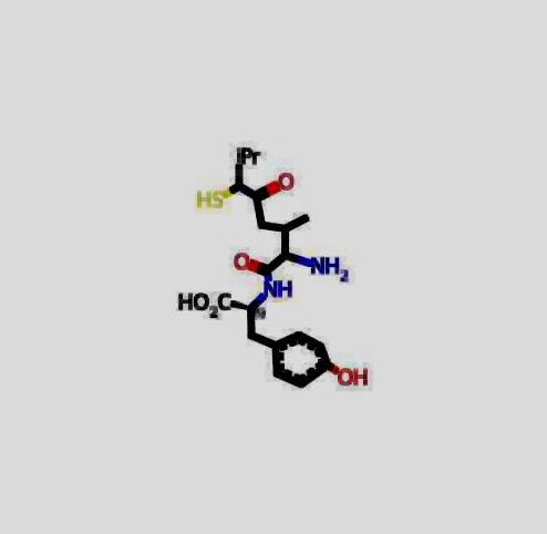 CC(C)C(S)C(=O)CC(C)C(N)C(=O)N[C@@H](Cc1ccc(O)cc1)C(=O)O